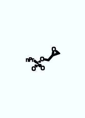 CCCS(=O)(=O)OCC1CO1